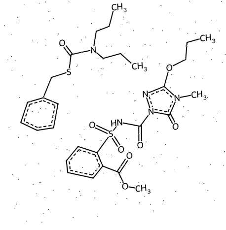 CCCN(CCC)C(=O)SCc1ccccc1.CCCOc1nn(C(=O)NS(=O)(=O)c2ccccc2C(=O)OC)c(=O)n1C